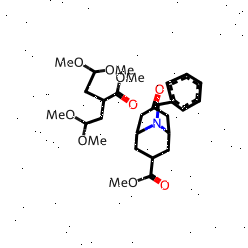 COC(=O)C(CC(OC)OC)CC(OC)OC.COC(=O)C1CC2CC(=O)CC(C1)N2Cc1ccccc1